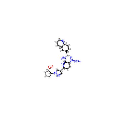 NNc1ccc(-c2cnn(C3CCCC3O)c2)nc1NCc1ccc2ncccc2c1